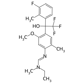 CCN(C)/C=N/c1cc(OC)c(C(O)(c2cccc(F)c2C)C(F)(F)F)cc1C